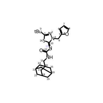 CC(C)(C)c1nn(Cc2ccco2)/c(=N/C(=O)NCC23CC4CC(CC(C4)C2)C3)s1